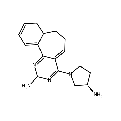 NC1N=C2C(=CCCC3CC=CC=C23)C(N2CC[C@@H](N)C2)=N1